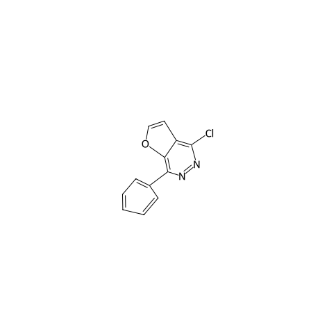 Clc1nnc(-c2ccccc2)c2occc12